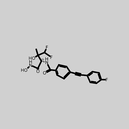 CC(O)(C(F)F)[C@H](NC(=O)c1ccc(C#Cc2ccc(F)cc2)cc1)C(=O)NO